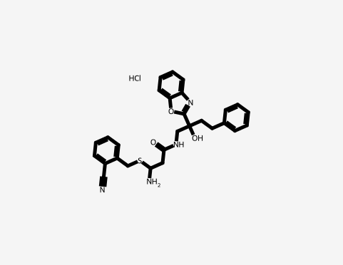 Cl.N#Cc1ccccc1CSC(N)CC(=O)NCC(O)(CCc1ccccc1)c1nc2ccccc2o1